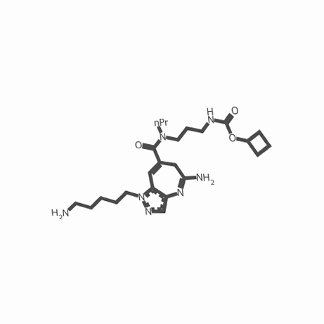 CCCN(CCCNC(=O)OC1CCC1)C(=O)C1=Cc2c(cnn2CCCCCN)N=C(N)C1